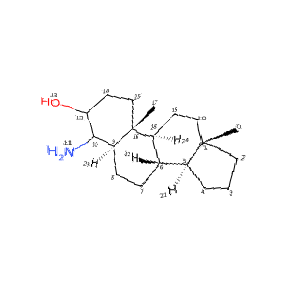 C[C@@]12CCC[C@H]1[C@@H]1CC[C@H]3C(N)C(O)CC[C@]3(C)[C@H]1CC2